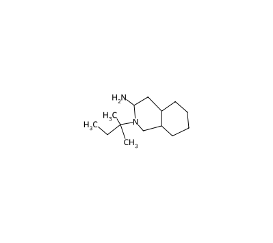 CCC(C)(C)N1CC2CCCCC2CC1N